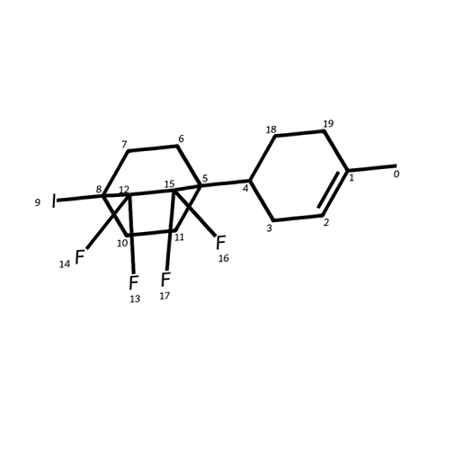 CC1=CCC(C23CCC(I)(CC2)C(F)(F)C3(F)F)CC1